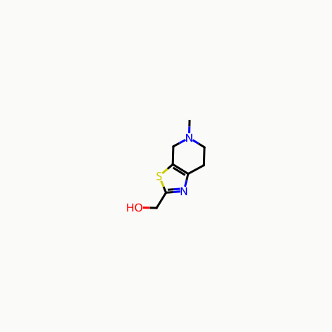 CN1CCc2nc(CO)sc2C1